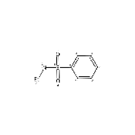 CC[N]S(=O)(=O)c1ccccc1